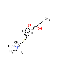 CCCCC[C@H](O)/C=C/[C@@H]1[C@H]2CC(CSCCCN(C(C)C)C(C)C)=C[C@H]2C[C@H]1O